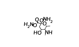 CNC1C(O)CC(ON)(C(=O)ON)OC1C